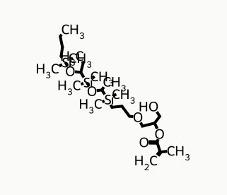 C=C(C)C(=O)OC(CO)COCCC[Si](C)(C)C(C)O[Si](C)(C)C(CC)O[Si](C)(C)CCCC